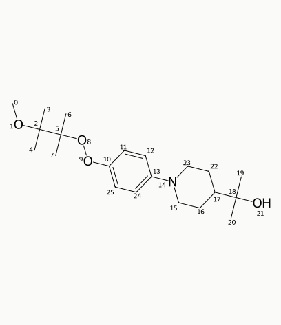 COC(C)(C)C(C)(C)OOc1ccc(N2CCC(C(C)(C)O)CC2)cc1